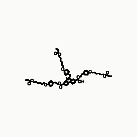 C=CC(=O)OCCCCCCOc1ccc(CCOC(=O)c2ccc3c(c2)nc(Sc2ccc(OCCCCCCOC(=O)C=C)cc2)c2cc(C(O)OCCc4ccc(OCCCCCCOC(=O)C=C)cc4)ccc23)cc1